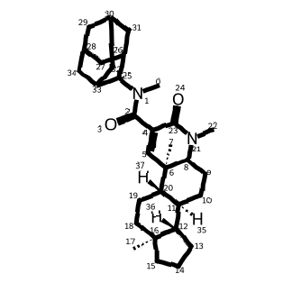 CN(C(=O)C1=C[C@@]2(C)C(CC[C@H]3[C@@H]4CCC[C@@]4(C)CC[C@@H]32)N(C)C1=O)C1C2CC3CC(C2)CC1C3